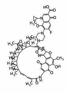 COc1c(N2CCN(CCO/N=C3/c4c5c(C)c(O)c6c4C(=O)C=C(NC(=O)/C(C)=C\C=C\[C@H](C)[C@H](O)[C@@H](C)[C@@H](O)[C@@H](C)[C@H](OC(C)=O)[C@H](C)[C@@H](OC)/C=C/O[C@@]3(C)O5)C6=O)C(C)C2)c(F)cc2c(=O)c(C(=O)O)cn(C3CC3)c12